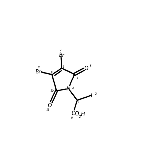 O=C(O)C(I)N1C(=O)C(Br)=C(Br)C1=O